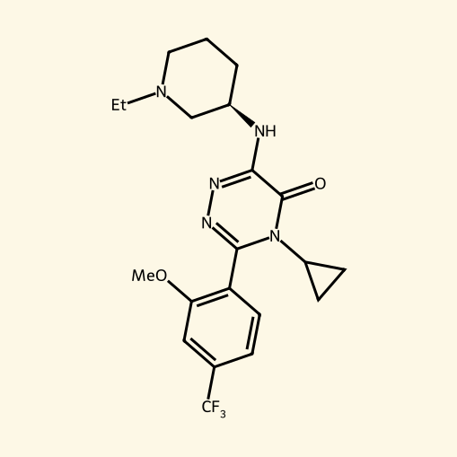 CCN1CCC[C@@H](Nc2nnc(-c3ccc(C(F)(F)F)cc3OC)n(C3CC3)c2=O)C1